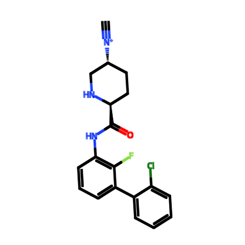 C#[N+][C@@H]1CC[C@@H](C(=O)Nc2cccc(-c3ccccc3Cl)c2F)NC1